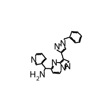 NC(c1cccnc1)c1ccn2ncc(-c3cnn(Cc4ccccc4)c3)c2n1